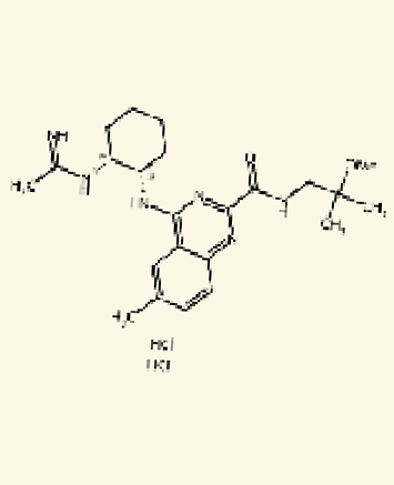 COC(C)(C)CNC(=O)c1nc(N[C@H]2CCCC[C@H]2NC(C)=N)c2cc(C)ccc2n1.Cl.Cl